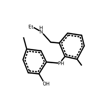 CCNCc1cccc(C)c1Pc1cc(C)ccc1O